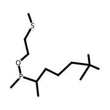 CSCCOP(C)C(C)CCCC(C)(C)C